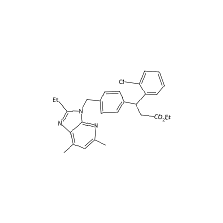 CCOC(=O)CC(c1ccc(Cn2c(CC)nc3c(C)cc(C)nc32)cc1)c1ccccc1Cl